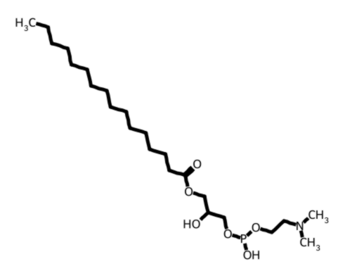 CCCCCCCCCCCCCCCC(=O)OCC(O)COP(O)OCCN(C)C